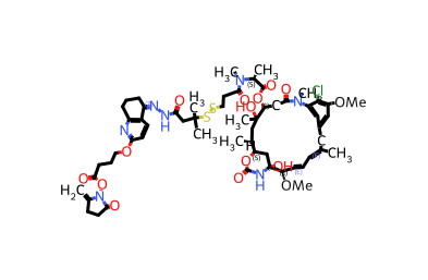 C=C1CCC(=O)N1OC(=O)CCCOc1ccc2c(n1)CCC/C2=N/NC(=O)CC(C)(C)SSCCC(=O)N(C)[C@@H](C)C(=O)O[C@H]1CC(=O)N(C)c2cc(cc(OC)c2Cl)C/C(C)=C/C=C/[C@@H](OC)[C@@]2(O)C[C@H](OC(=O)N2)[C@@H](C)CC1(C)O